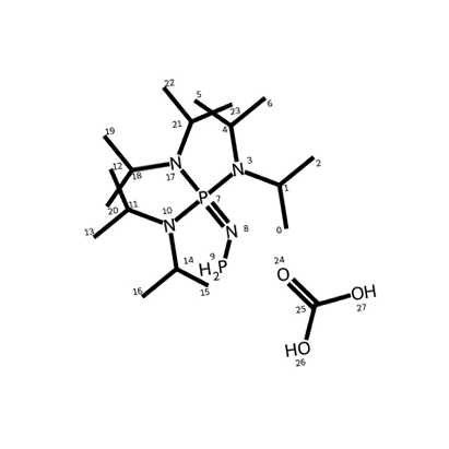 CC(C)N(C(C)C)P(=NP)(N(C(C)C)C(C)C)N(C(C)C)C(C)C.O=C(O)O